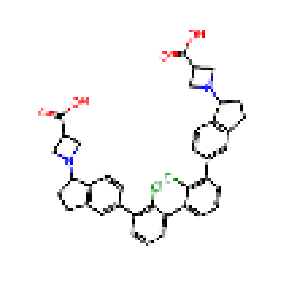 O=C(O)C1CN(C2CCc3cc(-c4cccc(-c5cccc(-c6ccc7c(c6)CCC7N6CC(C(=O)O)C6)c5Cl)c4Cl)ccc32)C1